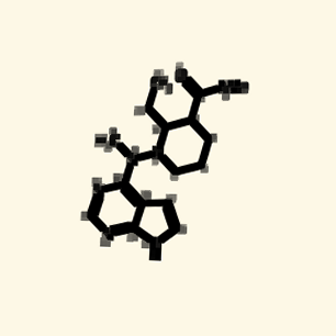 CNC(=O)C1CCCN(N(C)c2ncnc3[nH]ccc23)C1CC(F)(F)F